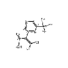 O=C(O)C(=C(Cl)Cl)c1cccc(C(F)(F)F)c1